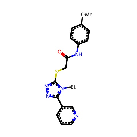 CCn1c(SCC(=O)Nc2ccc(OC)cc2)nnc1-c1cccnc1